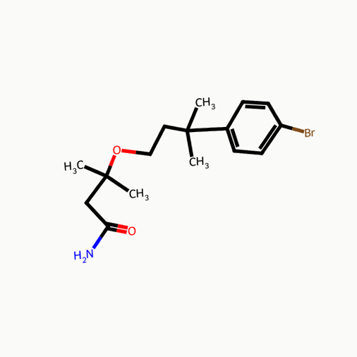 CC(C)(CC(N)=O)OCCC(C)(C)c1ccc(Br)cc1